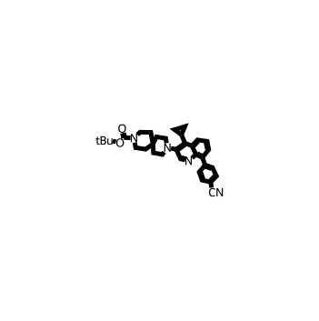 CC(C)(C)OC(=O)N1CCC2(CC1)CCN(c1cnc3c(-c4ccc(C#N)cc4)cccc3c1C1CC1)CC2